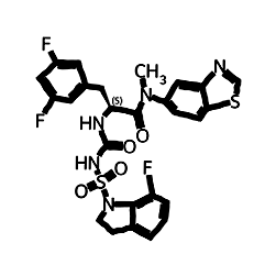 CN(C(=O)[C@H](Cc1cc(F)cc(F)c1)NC(=O)NS(=O)(=O)N1CCc2cccc(F)c21)c1ccc2scnc2c1